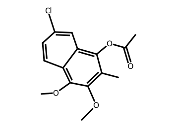 COc1c(C)c(OC(C)=O)c2cc(Cl)ccc2c1OC